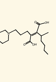 CCCCC(C)/C(C(=O)O)=C(/CCCN1CCOCC1)C(=O)O